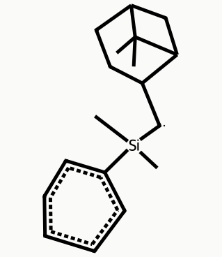 CC1(C)C2CCC([CH][Si](C)(C)c3ccccc3)C1C2